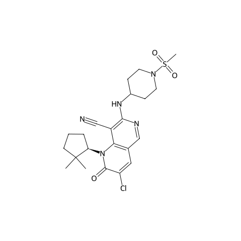 CC1(C)CCC[C@H]1n1c(=O)c(Cl)cc2cnc(NC3CCN(S(C)(=O)=O)CC3)c(C#N)c21